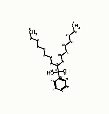 CCCCCCCCC(CCCCCCCC)C(O)(O)c1ccccc1